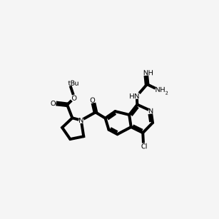 CC(C)(C)OC(=O)C1CCCN1C(=O)c1ccc2c(Cl)cnc(NC(=N)N)c2c1